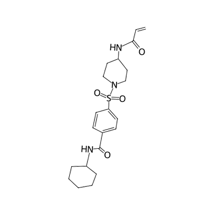 C=CC(=O)NC1CCN(S(=O)(=O)c2ccc(C(=O)NC3CCCCC3)cc2)CC1